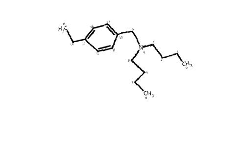 CCCCN(CCCC)Cc1ccc(CC)cc1